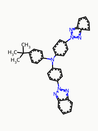 CC(C)(C)c1ccc(N(c2ccc(-n3nc4ccccc4n3)cc2)c2ccc(-n3nc4ccccc4n3)cc2)cc1